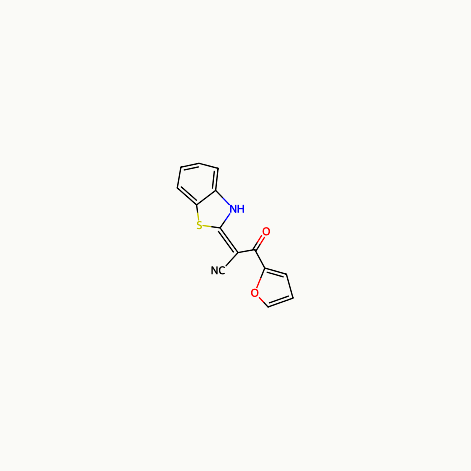 N#C/C(C(=O)c1ccco1)=C1/Nc2ccccc2S1